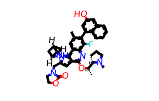 Cc1cc2c(nc(O[C@@H](C)[C@@H]3CCCN3C)c3cc(CN4CCOC4=O)n([C@H]4[C@H]5CN[C@@H]4C5)c32)c(F)c1-c1cc(O)cc2ccccc12